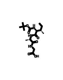 CC[C@H](C)[C@H](NC(=O)OC(C)(C)C)C(=O)N[C@@H](C)C(=O)NCC(=O)O